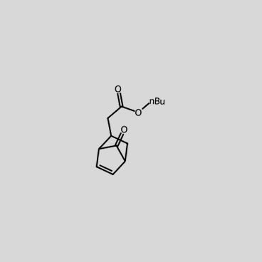 CCCCOC(=O)CC1CC2C=CC1C2=O